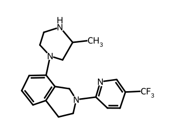 CC1CN(c2cccc3c2CN(c2ccc(C(F)(F)F)cn2)CC3)CCN1